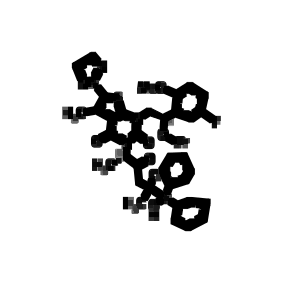 COc1ccc(F)cc1[C@H](Cn1c(=O)n([C@@H](C)C(=O)CC(C)(C)[Si](O)(c2ccccc2)c2ccccc2)c(=O)c2c(C)c(-n3nccn3)sc21)OC(C)C